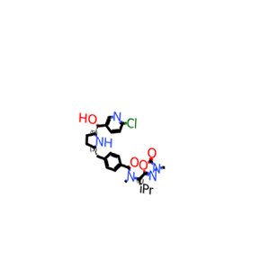 CC(C)[C@H](c1nn(C)c(=O)o1)N(C)C(=O)c1ccc(C[C@@H]2CC[C@H](C(O)c3ccc(Cl)nc3)N2)cc1